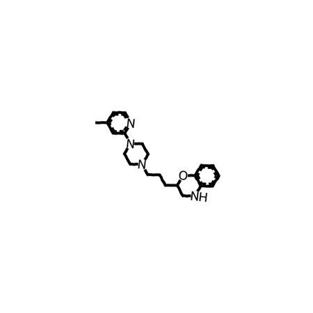 Cc1ccnc(N2CCN(CCCC3CNc4ccccc4O3)CC2)c1